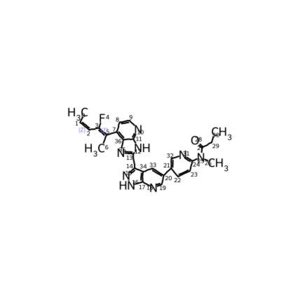 C/C=C\C(F)=C(/C)c1ccnc2[nH]c(-c3n[nH]c4ncc(-c5ccc(N(C)C(=O)CC)nc5)cc34)nc12